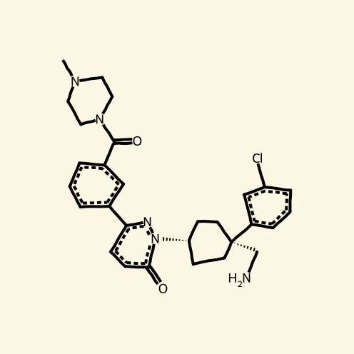 CN1CCN(C(=O)c2cccc(-c3ccc(=O)n([C@H]4CC[C@](CN)(c5cccc(Cl)c5)CC4)n3)c2)CC1